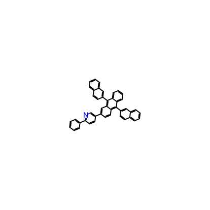 c1ccc(-c2ccc(-c3ccc4c(-c5ccc6ccccc6c5)c5ccccc5c(-c5ccc6ccccc6c5)c4c3)cn2)cc1